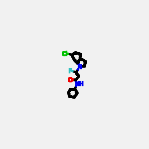 O=C(/C=C(\F)n1ccc2ccc(Cl)cc21)Nc1ccccc1